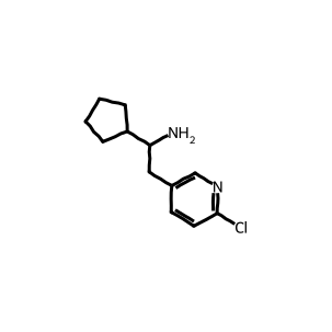 NC(Cc1ccc(Cl)nc1)C1CCCC1